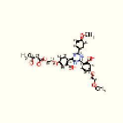 COCCOc1ccc(-c2nc(-c3ccc(OC)cc3)nc(-c3ccc(OCCOC(=O)CC(C)=O)cc3O)n2)c(O)c1